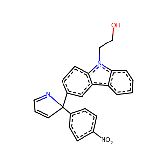 O=[N+]([O-])c1ccc(C2(c3ccc4c(c3)c3ccccc3n4CCO)C=CC=N2)cc1